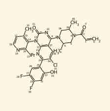 C=CC(=O)N1CC(C)N(c2nc(=O)n(-c3c(C)ccnc3C(C)C)c3nc(-c4cc(F)c(F)cc4O)c(Cl)cc23)CC1C